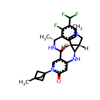 C[C@@H](NC(=O)c1cn(C23CC(C)(C2)C3)c(=O)cc1N[C@H]1[C@@H]2CN(C)C[C@@H]21)c1cccc(C(F)F)c1F